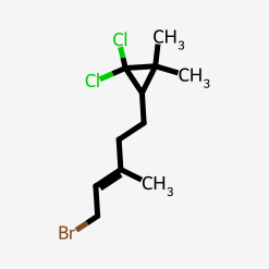 C/C(=C\CBr)CCC1C(C)(C)C1(Cl)Cl